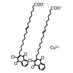 O=C([O-])CCCCCCCC=CCCCCCCCCC1=C(Cl)C(=O)c2ccccc2C1=O.O=C([O-])CCCCCCCC=CCCCCCCCCC1=C(Cl)C(=O)c2ccccc2C1=O.[Cu+2]